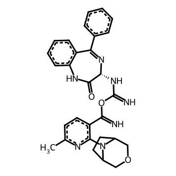 Cc1ccc(C(=N)OC(=N)N[C@H]2N=C(c3ccccc3)c3ccccc3NC2=O)c(N2C3CCC2COC3)n1